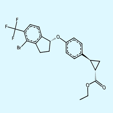 CCOC(=O)[C@H]1C[C@@H]1c1ccc(O[C@@H]2CCc3c2ccc(C(F)(F)F)c3Br)cc1